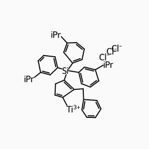 CC(C)c1cccc([Si](C2=C(Cc3ccccc3)[C]([Ti+3])=CC2)(c2cccc(C(C)C)c2)c2cccc(C(C)C)c2)c1.[Cl-].[Cl-].[Cl-]